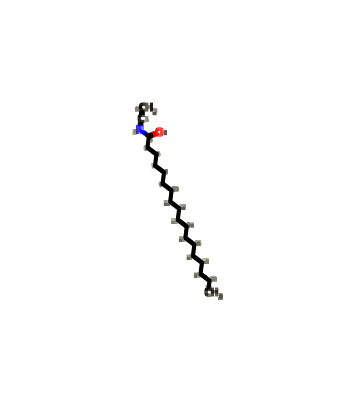 C=C=NC(=O)CCCCCCCCCCCCCCCCC